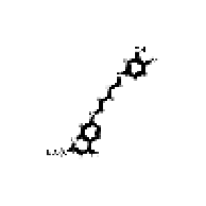 CCOC(=O)c1cc(=O)c2ccc(OCCCCCOc3ccc(C(C)=O)c(O)c3)cc2o1